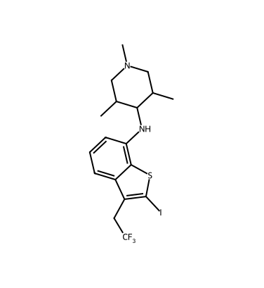 CC1CN(C)CC(C)C1Nc1cccc2c(CC(F)(F)F)c(I)sc12